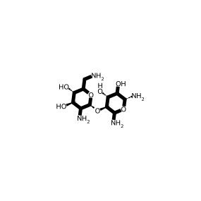 NCC1O[C@H](O[C@@H]2C(N)O[C@@H](N)C(O)[C@H]2O)C(N)[C@@H](O)[C@@H]1O